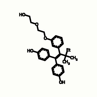 CCC(C)(C)C(=C(c1ccc(O)cc1)c1ccc(O)cc1)c1cccc(OCCOCCO)c1